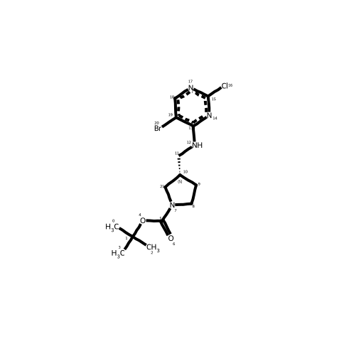 CC(C)(C)OC(=O)N1CC[C@@H](CNc2nc(Cl)ncc2Br)C1